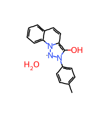 Cc1ccc(N2[N]N3C(=C2O)C=Cc2ccccc23)cc1.O